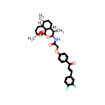 C[C@H]1[C@@H](NC(=O)COc2ccc(C(=O)/C=C/c3ccc(F)c(F)c3)cc2)O[C@@H]2O[C@]3(C)CC[C@H]4[C@H](C)CC[C@@H]1[C@@]24OO3